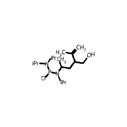 C=C(C)C(CO)CC(C)N(C(C)C)P(Cl)N(C(C)C)C(C)C